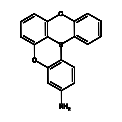 Nc1ccc2c(c1)Oc1cccc3c1B2c1ccccc1O3